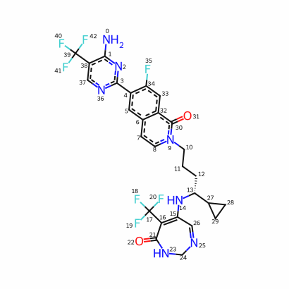 Nc1nc(-c2cc3ccn(CCC[C@@H](NC4=C(C(F)(F)F)C(=O)NCN=C4)C4CC4)c(=O)c3cc2F)ncc1C(F)(F)F